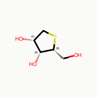 OC[C@H]1SC[C@@H](O)[C@H]1O